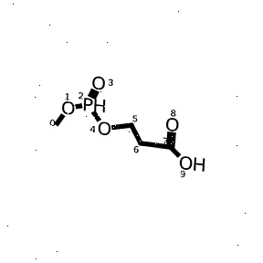 CO[PH](=O)OCCC(=O)O